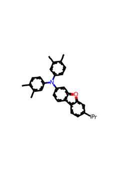 Cc1ccc(N(c2ccc(C)c(C)c2)c2ccc3c(c2)oc2cc(C(C)C)ccc23)cc1C